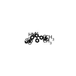 CN(c1ccc(-c2cnc3[nH]c4ccc(OS(=O)(=O)c5cccs5)cc4c3c2-c2ccccc2)cc1)S(C)(=O)=O